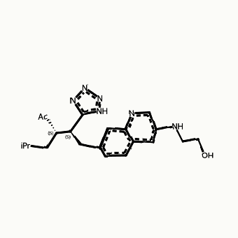 CC(=O)[C@@H](CC(C)C)[C@H](Cc1ccc2cc(NCCO)cnc2c1)c1nnn[nH]1